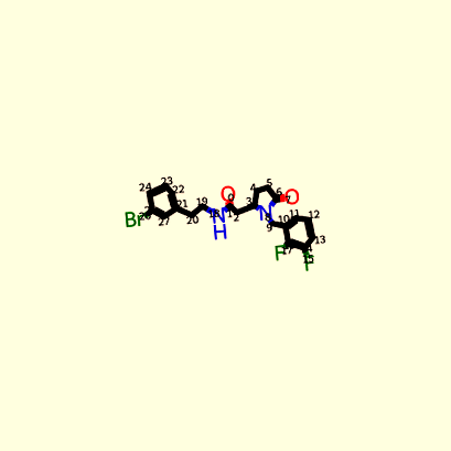 O=C(CC1CCC(=O)N1Cc1cccc(F)c1F)NCCc1cccc(Br)c1